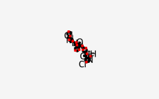 O=C(NC1CCC(CN2C(=O)C3(CN(c4cnn(C5CCCCO5)c4)C3)c3ccccc32)CC1)c1cc(Cl)cnc1C(F)F